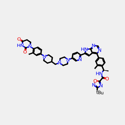 Cc1cc(-c2ncnc3[nH]c(-c4ccc(N5CCN(CC6CCN(c7ccc(N8CCC(=O)NC8=O)c(C)c7)CC6)CC5)cn4)cc23)ccc1[C@@H](C)NC(=O)c1nc(C(C)(C)C)no1